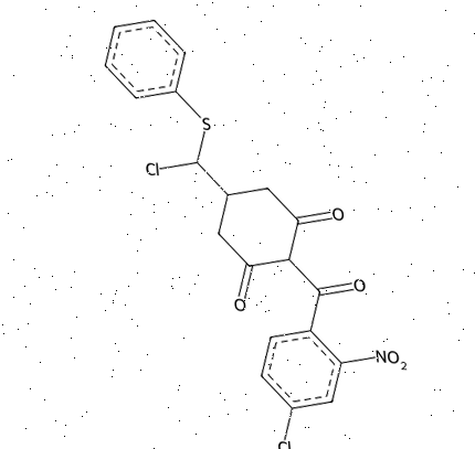 O=C1CC(C(Cl)Sc2ccccc2)CC(=O)C1C(=O)c1ccc(Cl)cc1[N+](=O)[O-]